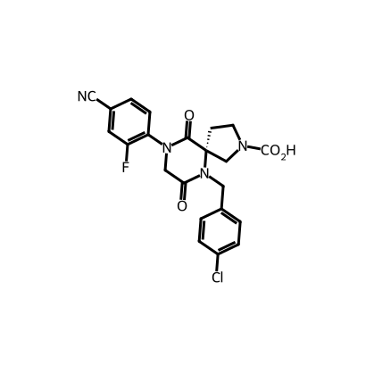 N#Cc1ccc(N2CC(=O)N(Cc3ccc(Cl)cc3)[C@@]3(CCN(C(=O)O)C3)C2=O)c(F)c1